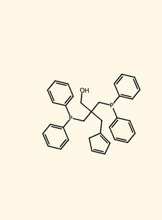 OCC(CC1=CC=CC1)(CP(c1ccccc1)c1ccccc1)CP(c1ccccc1)c1ccccc1